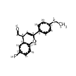 CSc1ccc(C2=CC(C=O)c3cc(F)ccc3O2)cc1